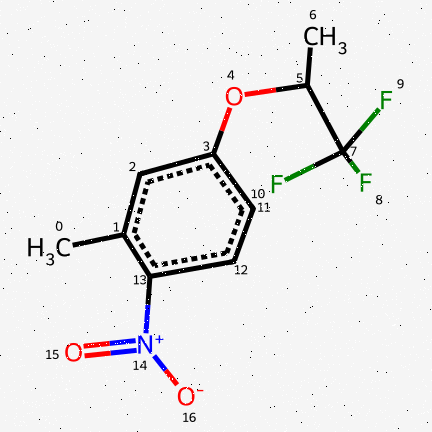 Cc1cc(OC(C)C(F)(F)F)ccc1[N+](=O)[O-]